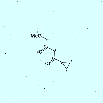 COCC(=O)CC(=O)C1CC1